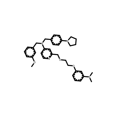 COc1cccc(CN(Cc2ccc(N3CCCC3)cc2)c2ccnc(COCCOc3cccc(N(C)C)c3)c2)c1